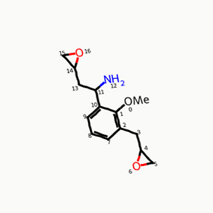 COc1c(CC2CO2)cccc1C(N)CC1CO1